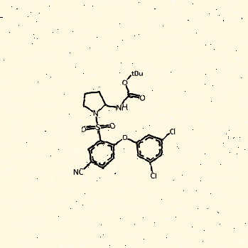 CC(C)(C)OC(=O)NC1CCCN1S(=O)(=O)c1cc(C#N)ccc1Oc1cc(Cl)cc(Cl)c1